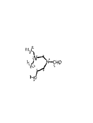 CN(C)CN(C=O)CCO